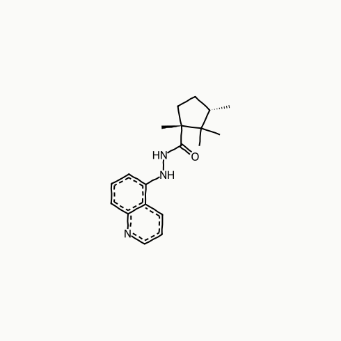 C[C@H]1CC[C@@](C)(C(=O)NNc2cccc3ncccc23)C1(C)C